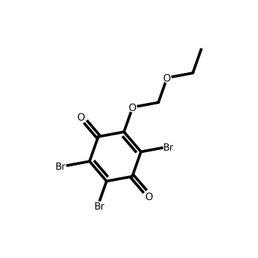 CCOCOC1=C(Br)C(=O)C(Br)=C(Br)C1=O